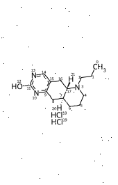 CCCN1CCC[C@H]2Cc3nc(O)ncc3C[C@@H]21.Cl.Cl